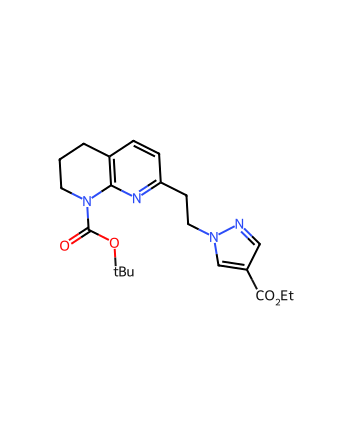 CCOC(=O)c1cnn(CCc2ccc3c(n2)N(C(=O)OC(C)(C)C)CCC3)c1